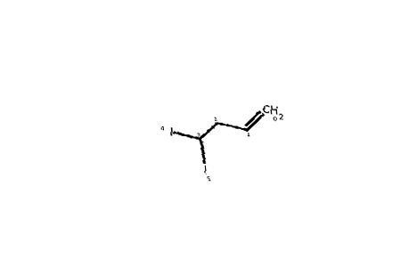 C=CCC(I)I